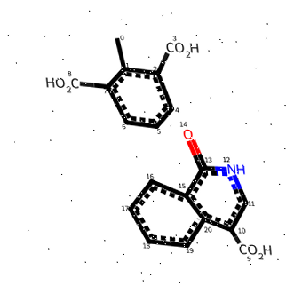 Cc1c(C(=O)O)cccc1C(=O)O.O=C(O)c1c[nH]c(=O)c2ccccc12